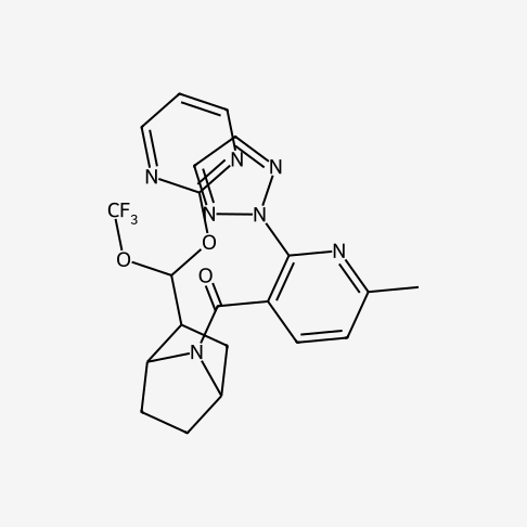 Cc1ccc(C(=O)N2C3CCC2C(C(Oc2ncccn2)OC(F)(F)F)C3)c(-n2nccn2)n1